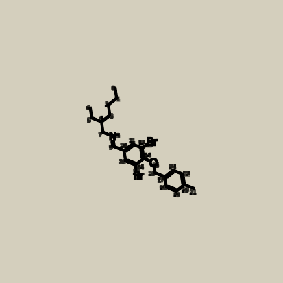 CCCCC(CC)CN=Cc1cc(Br)c(OCc2ccc(C)cc2)c(Br)c1